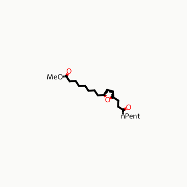 CCCCCC(=O)CCc1ccc(CCCCCCCC(=O)OC)o1